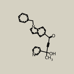 CC(O)(C#CC(=O)c1ccc2c(ccn2Cc2ccccc2)c1)c1cccnc1